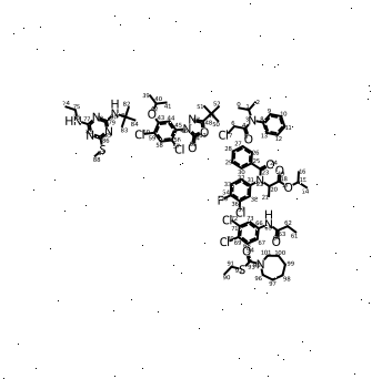 CC(C)N(C(=O)CCl)c1ccccc1.CC(C)OC(=O)C(C)N(C(=O)c1ccccc1)c1ccc(F)c(Cl)c1.CC(C)Oc1cc(-n2nc(C(C)(C)C)oc2=O)c(Cl)cc1Cl.CCC(=O)Nc1ccc(Cl)c(Cl)c1.CCNc1nc(NC(C)(C)C)nc(SC)n1.CCSC(=O)N1CCCCCC1